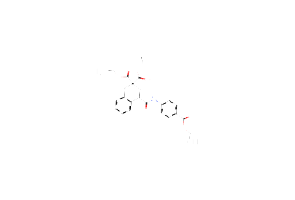 CCOC(=O)c1ccc(NC(=O)C2CC(C(=O)OCC)(C(=O)OCC)Cc3ccccc32)cc1